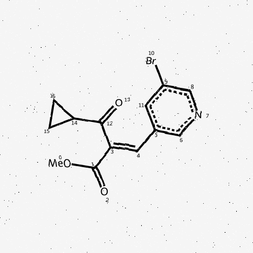 COC(=O)/C(=C/c1cncc(Br)c1)C(=O)C1CC1